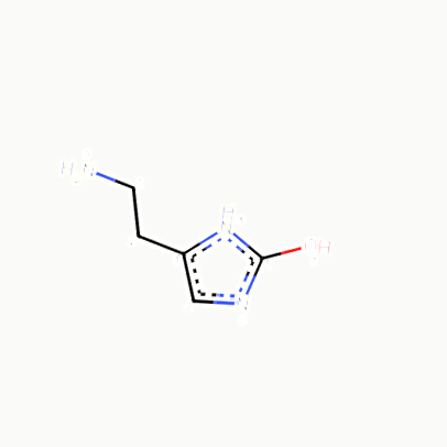 NCCc1cnc(O)[nH]1